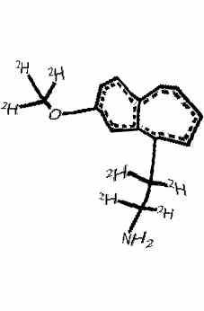 [2H]C([2H])([2H])Oc1ccc2cccc(C([2H])([2H])C([2H])([2H])N)c2c1